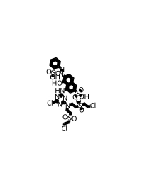 O=S(=O)(CCCl)CCN(CCS(=O)(=O)CCCl)c1nc(Cl)nc(Nc2cc(S(=O)(=O)O)cc3ccc(N=Nc4ccccc4S(=O)(=O)O)c(O)c23)n1